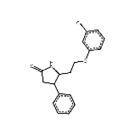 O=C1CC(c2ccccc2)C(CCOc2cccc(Cl)c2)N1